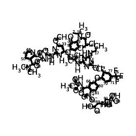 CC1COc2ccccc2N1C(=O)C(Cl)Cl.CCNc1nc(Cl)nc(NC(C)C)n1.COc1cc(OC)nc(NC(=O)NS(=O)(=O)c2ncccc2C(=O)N(C)C)n1.CS(=O)(=O)NC(=O)c1cc(Oc2ccc(C(F)(F)F)cc2Cl)ccc1[N+](=O)[O-].O=C(O)CNCP(=O)(O)O